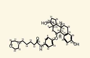 C[C@]12C[C@H](Oc3ccc(NC(=O)CCCCN4CCOCC4)cc3)[C@@H]3c4ccc(O)cc4CC[C@H]3[C@@H]1CC[C@@H]2O